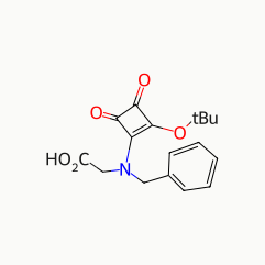 CC(C)(C)Oc1c(N(CC(=O)O)Cc2ccccc2)c(=O)c1=O